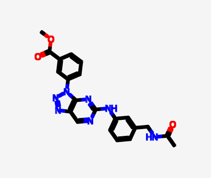 COC(=O)c1cccc(-n2nnc3cnc(Nc4cccc(CNC(C)=O)c4)nc32)c1